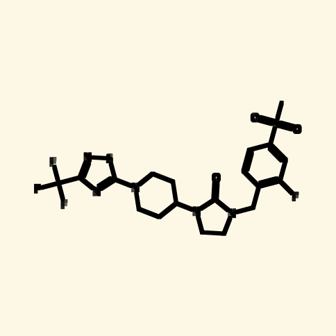 CS(=O)(=O)c1ccc(CN2CCN(C3CCN(c4nc(C(F)(F)F)ns4)CC3)C2=O)c(F)c1